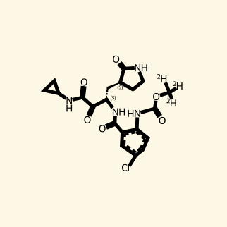 [2H]C([2H])([2H])OC(=O)Nc1ccc(Cl)cc1C(=O)N[C@@H](C[C@@H]1CCNC1=O)C(=O)C(=O)NC1CC1